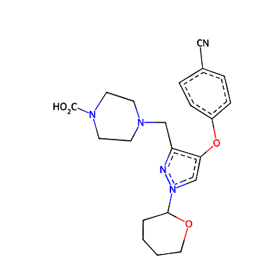 N#Cc1ccc(Oc2cn(C3CCCCO3)nc2CN2CCN(C(=O)O)CC2)cc1